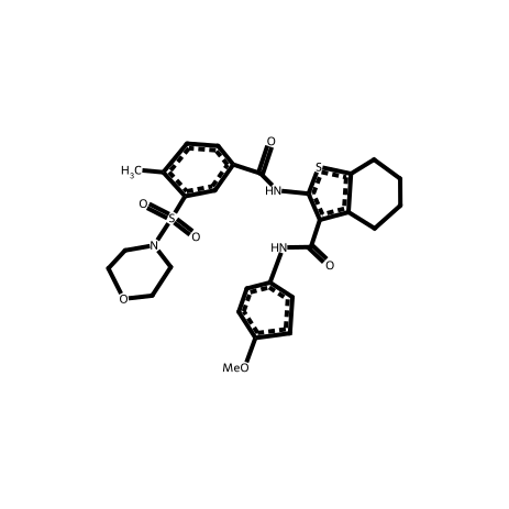 COc1ccc(NC(=O)c2c(NC(=O)c3ccc(C)c(S(=O)(=O)N4CCOCC4)c3)sc3c2CCCC3)cc1